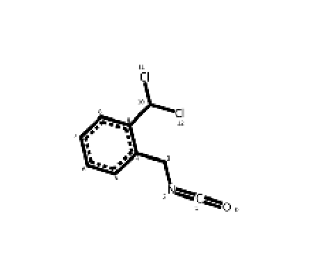 O=C=NCc1ccccc1C(Cl)Cl